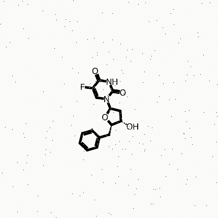 O=c1[nH]c(=O)n(C2C[C@H](O)[C@@H](Cc3[c]cccc3)O2)cc1F